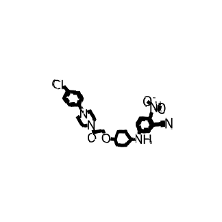 N#Cc1cc(NC2CCC(OCC(=O)N3CCN(c4ccc(Cl)cc4)CC3)CC2)ccc1[N+](=O)[O-]